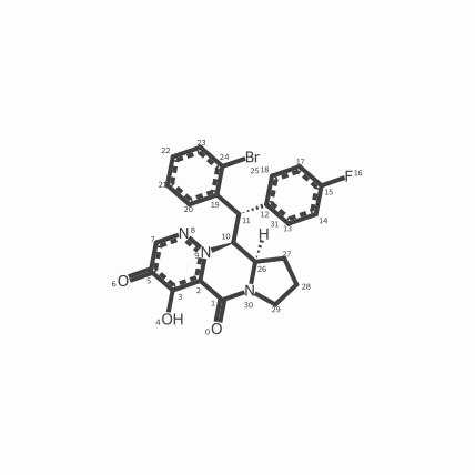 O=C1c2c(O)c(=O)cnn2[C@@H]([C@@H](c2ccc(F)cc2)c2ccccc2Br)[C@H]2CCCN12